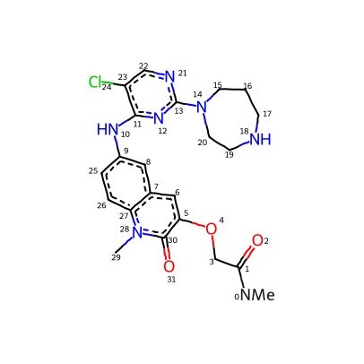 CNC(=O)COc1cc2cc(Nc3nc(N4CCCNCC4)ncc3Cl)ccc2n(C)c1=O